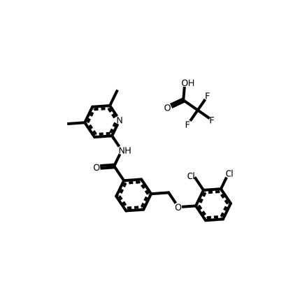 Cc1cc(C)nc(NC(=O)c2cccc(COc3cccc(Cl)c3Cl)c2)c1.O=C(O)C(F)(F)F